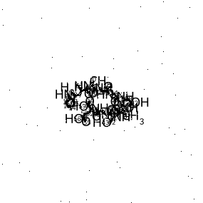 CC(NC(=O)C(N)Cc1c[nH]c2ccccc12)C(=O)NCC(=O)NCC(=O)NC(CC(=O)O)C(=O)NC(C)C(=O)NC(CO)C(=O)NCC(=O)NC(CCC(=O)O)C(=O)O